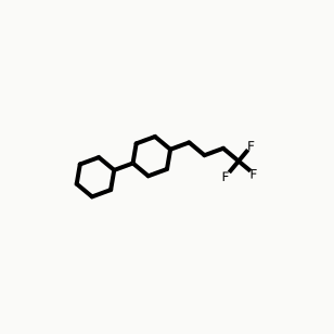 FC(F)(F)CCCC1CCC(C2CCCCC2)CC1